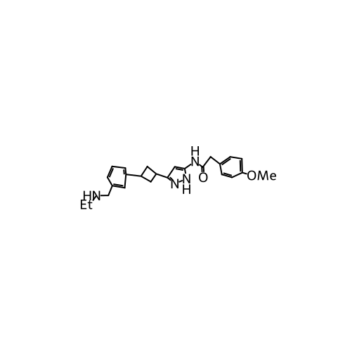 CCNCc1cccc(C2CC(c3cc(NC(=O)Cc4ccc(OC)cc4)[nH]n3)C2)c1